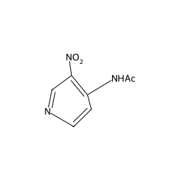 CC(=O)Nc1ccncc1[N+](=O)[O-]